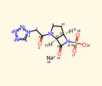 O=C(Cn1cnnn1)N1CC[C@@H]2[C@H]1C(=O)N2S(=O)(=O)[O-].[Na+]